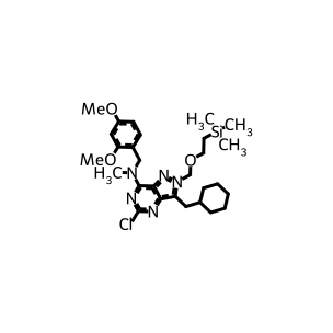 COc1ccc(CN(C)c2nc(Cl)nc3c(CC4CCCCC4)n(COCC[Si](C)(C)C)nc23)c(OC)c1